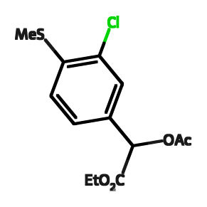 CCOC(=O)C(OC(C)=O)c1ccc(SC)c(Cl)c1